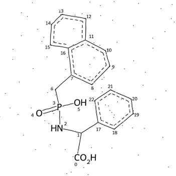 O=C(O)C(NP(=O)(O)Cc1cccc2ccccc12)c1ccccc1